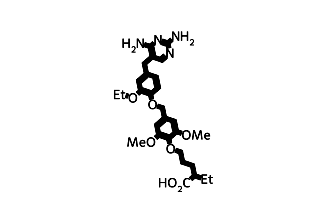 CCOc1cc(Cc2cnc(N)nc2N)ccc1OCc1cc(OC)c(OCCCC(CC)C(=O)O)c(OC)c1